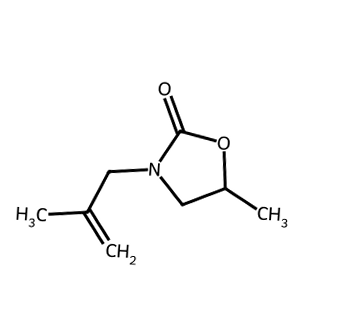 C=C(C)CN1CC(C)OC1=O